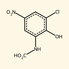 O=C(O)Nc1cc([N+](=O)[O-])cc(Cl)c1O